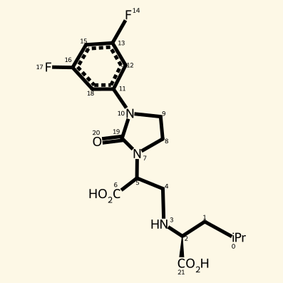 CC(C)C[C@H](NCC(C(=O)O)N1CCN(c2cc(F)cc(F)c2)C1=O)C(=O)O